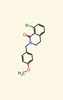 COc1ccc(CN2CCc3cccc(Br)c3C2=O)cc1